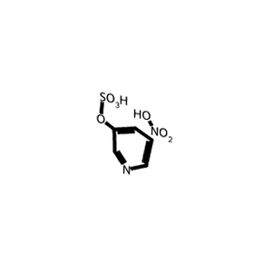 O=S(=O)(O)Oc1cccnc1.O=[N+]([O-])O